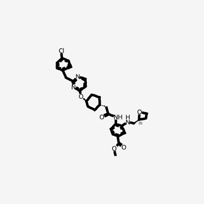 COC(=O)c1ccc(NC(=O)C[C@H]2CC[C@H](Oc3ccnc(Cc4ccc(Cl)cc4)n3)CC2)c(NC[C@@H]2CCO2)c1